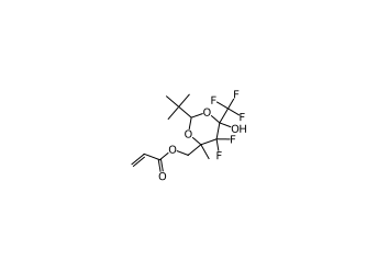 C=CC(=O)OCC1(C)OC(C(C)(C)C)OC(O)(C(F)(F)F)C1(F)F